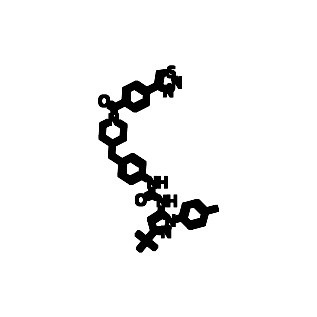 Cc1ccc(-n2nc(C(C)(C)C)cc2NC(=O)Nc2ccc(CC3CCN(C(=O)c4ccc(-c5csnn5)cc4)CC3)cc2)cc1